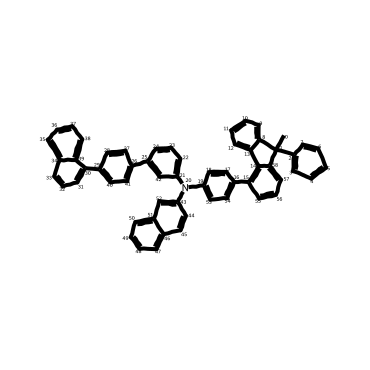 CC1(c2ccccc2)c2ccccc2-c2c(-c3ccc(N(c4cccc(-c5ccc(-c6cccc7ccccc67)cc5)c4)c4ccc5ccccc5c4)cc3)cccc21